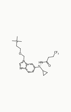 C[Si](C)(C)CCOCn1cnc2ccc([C@H](NC(=O)CCC(F)(F)F)C3CC3)cc21